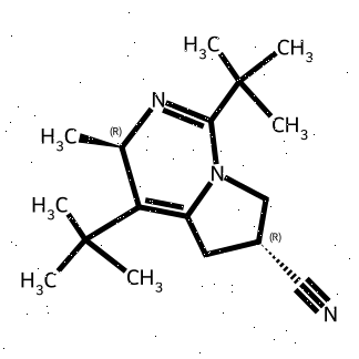 C[C@H]1N=C(C(C)(C)C)N2C[C@H](C#N)CC2=C1C(C)(C)C